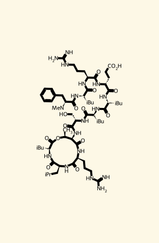 CC[C@@H](C)[C@@H](NC(=O)[C@@H](CCC(=O)O)NC(=O)[C@H](CCCNC(=N)N)NC(=O)[C@@H](NC(=O)[C@@H](Cc1ccccc1)NC)[C@@H](C)CC)C(=O)N[C@H](C(=O)N[C@@H](CO)C(=O)N[C@H]1C(=O)N[C@@H](CCCNC(=N)N)C(=O)N[C@@H](CC(C)C)C(=O)N[C@@H]([C@@H](C)CC)C(=O)O[C@H]1C)[C@@H](C)CC